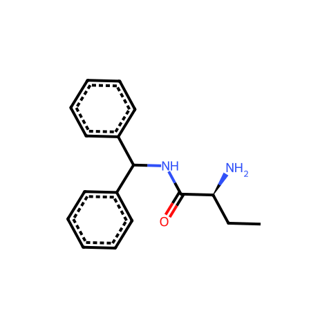 CC[C@H](N)C(=O)NC(c1ccccc1)c1ccccc1